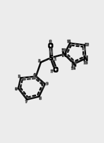 O=S(=O)(Cc1ccccc1)n1ccnn1